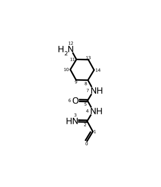 C=CC(=N)NC(=O)NC1CCC(N)CC1